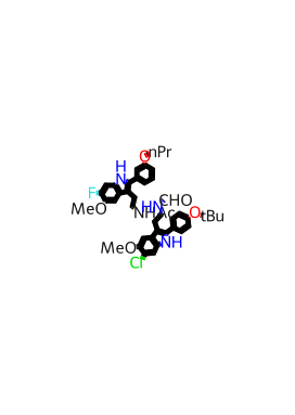 CCCOc1cccc(-c2[nH]c3cc(F)c(OC)cc3c2CCNC(C)=O)c1.COc1cc2c(CCNC=O)c(-c3ccc(OC(C)(C)C)cc3)[nH]c2cc1Cl